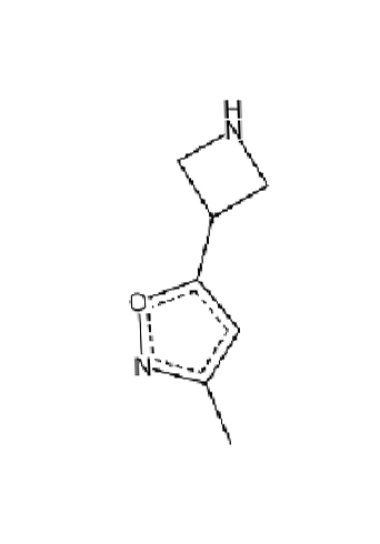 Cc1cc(C2CNC2)on1